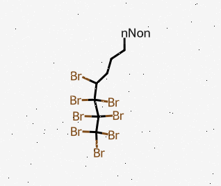 CCCCCCCCCCCCC(Br)C(Br)(Br)C(Br)(Br)C(Br)(Br)Br